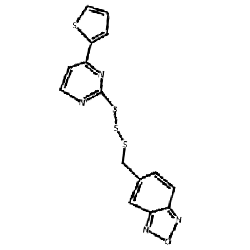 c1csc(-c2ccnc(SSSCc3ccc4nonc4c3)n2)c1